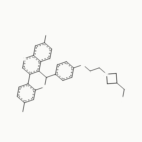 Cc1ccc2c(c1)OC(c1ccc(OCCN3CC(CF)C3)cc1)c1c-2cnc2cc(O)ccc12